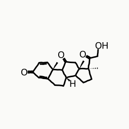 C[C@]12C=CC(=O)C=C1CC[C@@H]1C2C(=O)C[C@@]2(C)C1CC[C@]2(C)C(=O)CO